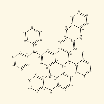 Cc1ccccc1N1B2c3cccc4c3N(c3ccccc3S4)c3cc(N(c4ccccc4)c4ccccc4)cc(c32)-c2cc3c(cc21)Oc1ccccc1O3